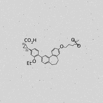 CCOc1cc([C@H]2C[C@@H]2C(=O)O)ccc1-c1ccc2c(c1)-c1ccc(OCCCS(C)(=O)=O)cc1CCC2